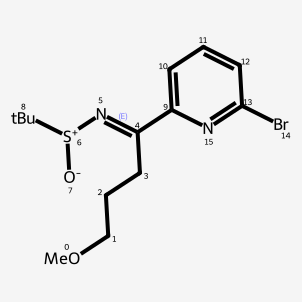 COCCC/C(=N\[S+]([O-])C(C)(C)C)c1cccc(Br)n1